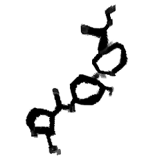 CC(C)(C)OC(=O)N1CCO[C@H](c2ccc(NC(=O)c3ccnc(C(F)(F)F)c3)cc2F)C1